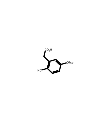 COc1ccc(C#N)c(CC(=O)O)c1